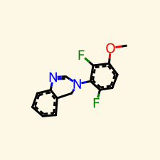 COc1ccc(F)c(N2C=Nc3ccccc3C2)c1F